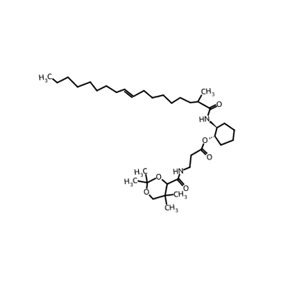 CCCCCCCCC=CCCCCCCC(C)C(=O)N[C@H]1CCCC[C@@H]1OC(=O)CCNC(=O)C1OC(C)(C)OCC1(C)C